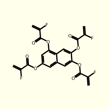 C=C(F)C(=O)Oc1cc(OC(=O)C(=C)F)c2cc(OC(=O)C(=C)F)c(OC(=O)C(=C)F)cc2c1